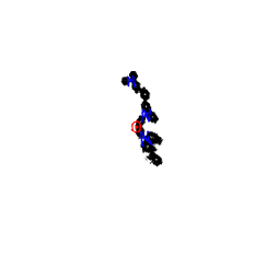 c1ccc(-c2ccc3c(c2)c2ccccc2n3-c2ccc3oc4ccc(-n5c6ccccc6c6cc(-c7cccc(-c8ccc9c(c8)c8ccccc8n9-c8ccccc8)c7)ccc65)cc4c3c2)cc1